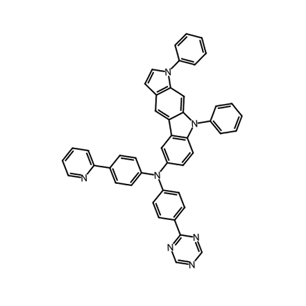 c1ccc(-n2ccc3cc4c5cc(N(c6ccc(-c7ccccn7)cc6)c6ccc(-c7ncncn7)cc6)ccc5n(-c5ccccc5)c4cc32)cc1